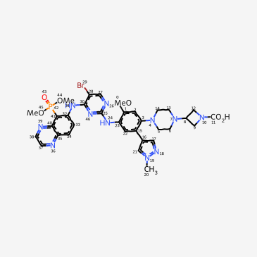 COc1cc(N2CCN(C3CN(C(=O)O)C3)CC2)c(-c2cnn(C)c2)cc1Nc1ncc(Br)c(Nc2ccc3nccnc3c2P(=O)(OC)OC)n1